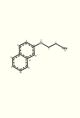 [NH]CCOc1ccc2ccccc2c1